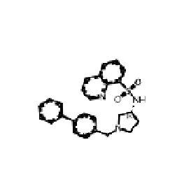 O=S(=O)(N[C@@H]1CCN(Cc2ccc(-c3ccccc3)cc2)C1)c1cccc2cccnc12